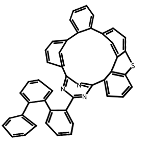 c1ccc(-c2ccccc2-c2ccccc2-c2nc3nc(n2)c2cccc4sc5ccc(cc5c42)c2ccccc2c2cccc3c2)cc1